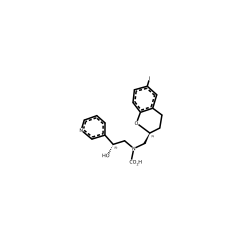 O=C(O)N(C[C@@H]1CCc2cc(I)ccc2O1)C[C@H](O)c1cccnc1